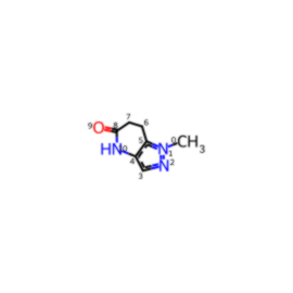 Cn1ncc2c1CCC(=O)N2